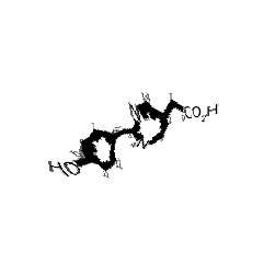 O=C(O)Cc1cnc(-c2ccc(O)cc2)nc1